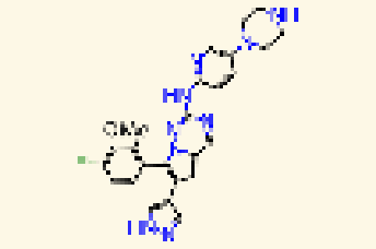 COc1cc(F)ccc1-c1c(-c2cn[nH]c2)cc2cnc(Nc3ccc(N4CCNCC4)cn3)nn12